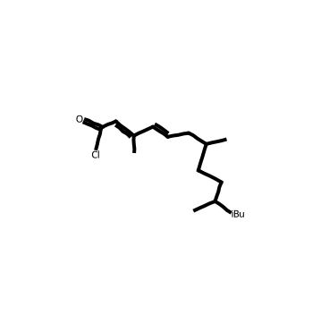 CCC(C)C(C)CCC(C)C/C=C/C(C)=C/C(=O)Cl